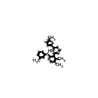 Cc1cccc(Sc2nnc(C)c(C)c2C2=NOCC(c3ccc(C)s3)N2)c1